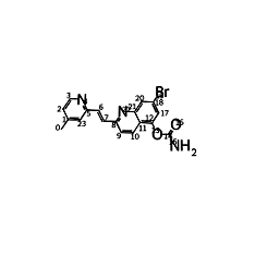 Cc1ccnc(C=Cc2ccc3c(OC(N)=O)cc(Br)cc3n2)c1